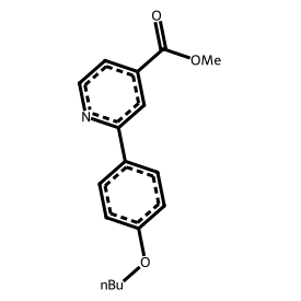 CCCCOc1ccc(-c2cc(C(=O)OC)ccn2)cc1